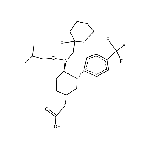 CC(C)CCN(CC1(F)CCCCC1)[C@@H]1CC[C@@H](CC(=O)O)C[C@H]1c1ccc(C(F)(F)F)cc1